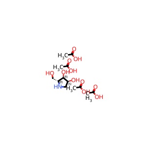 CC(=O)O.CC(=O)O.CC(=O)O.CC(=O)O.OC[C@H]1NC[C@H](O)[C@@H]1O